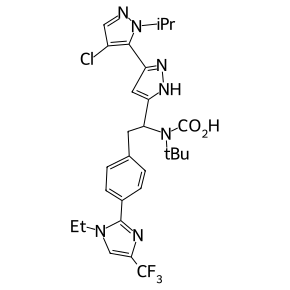 CCn1cc(C(F)(F)F)nc1-c1ccc(CC(c2cc(-c3c(Cl)cnn3C(C)C)n[nH]2)N(C(=O)O)C(C)(C)C)cc1